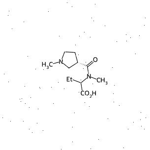 CCC(C(=O)O)N(C)C(=O)[C@H]1CCN(C)C1